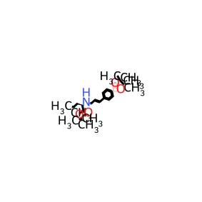 CC(C)C[C@@H](NC/C=C/c1ccc(B2OC(C)(C)C(C)(C)O2)cc1)C(=O)OC(C)(C)C